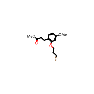 COC(=O)CCc1ccc(OC)cc1OCCCBr